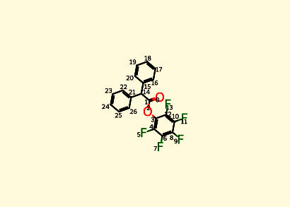 O=C(Oc1c(F)c(F)c(F)c(F)c1F)C(c1ccccc1)c1ccccc1